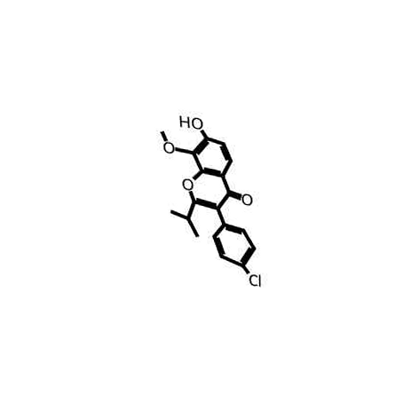 COc1c(O)ccc2c(=O)c(-c3ccc(Cl)cc3)c(C(C)C)oc12